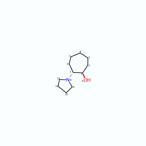 O[C@@H]1CCCCC[C@H]1N1CCCC1